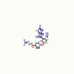 CNc1ccc(Oc2ccc(OCCCN(C)C)cn2)cc1C(=N)Nc1ccn(C)n1